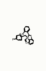 C=C[N+]1(Cc2ccc(F)cc2)c2ccccc2SC1c1ccccc1N